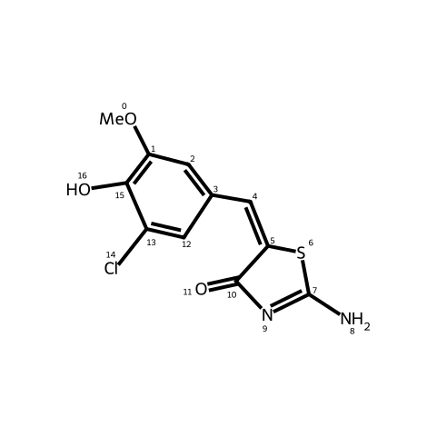 COc1cc(/C=C2/SC(N)=NC2=O)cc(Cl)c1O